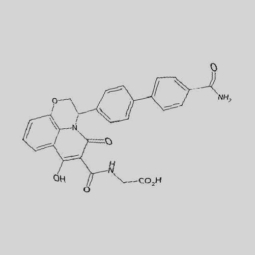 NC(=O)c1ccc(-c2ccc(C3COc4cccc5c(O)c(C(=O)NCC(=O)O)c(=O)n3c45)cc2)cc1